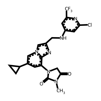 CN1C(=O)CN(c2cc(C3CC3)cn3cc(CNc4cc(Cl)nc(C(F)(F)F)c4)nc23)C1=O